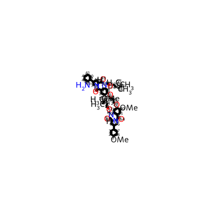 COc1ccc(C2=C[C@H]3C(=O)N(COCC[Si](C)(C)C)c4cc(OCCCOc5cc6c(cc5OC)C(=O)N5CC(c7ccccc7N)=C[C@H]5C(=O)N6COCC[Si](C)(C)C)c(OC)cc4C(=O)N3C2)cc1